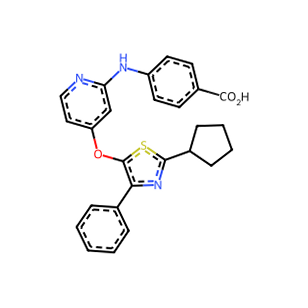 O=C(O)c1ccc(Nc2cc(Oc3sc(C4CCCC4)nc3-c3ccccc3)ccn2)cc1